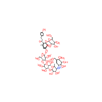 Cc1cc(OC2OC(CO)C(OC3OC(CO)C(OC4OC(C)C(NC5C=C(CO)C(O)C(O)C5O)C(O)C4O)C(O)C3O)C(O)C2O)cc(OC2OC(CO)C(O)C(O)C2O)c1C(=O)CCc1ccc(O)cc1